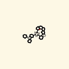 c1ccc(-c2nc(-c3ccc4c(c3)c3ccccc3n4-c3ccccc3)nc(-c3cccc4oc5cc6ccc7ccccc7c6cc5c34)n2)cc1